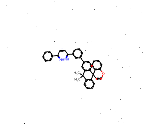 CC1(C)c2ccccc2C2(c3ccccc3Oc3ccccc32)c2ccc(-c3cccc(C(=N)/C=C\C(=N)c4ccccc4)c3)cc21